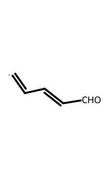 [CH]=CC=CC=O